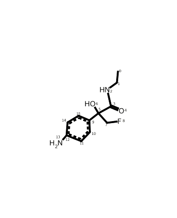 CCNC(=O)C(O)(CF)c1ccc(N)cc1